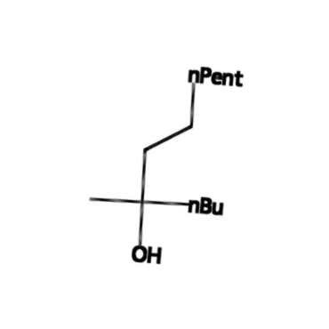 CCCCCCCC(C)(O)CCCC